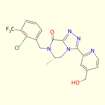 C[C@H]1Cn2c(nnc2-c2cc(CO)ccn2)C(=O)N1Cc1cccc(C(F)(F)F)c1Cl